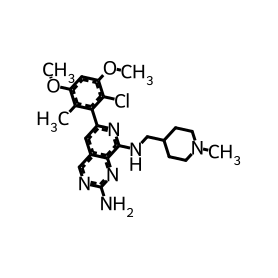 COc1cc(OC)c(Cl)c(-c2cc3cnc(N)nc3c(NCC3CCN(C)CC3)n2)c1C